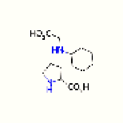 O=C(O)C1CCCN1.O=C(O)CNC1CCCCC1